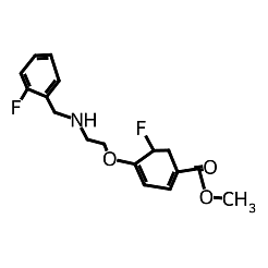 COC(=O)C1=CC=C(OCCNCc2ccccc2F)C(F)C1